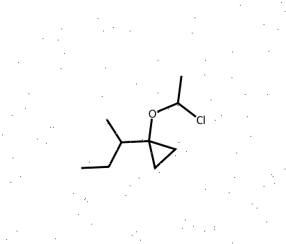 CCC(C)C1(O[C](C)Cl)CC1